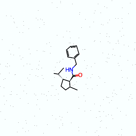 CC(C)[C@H]1CCC(C)[C@@H]1C(=O)NCc1ccccc1